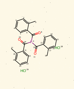 Cc1ccccc1C(=O)P(C(=O)c1ccccc1C)C(=O)c1ccccc1C.Cl.Cl